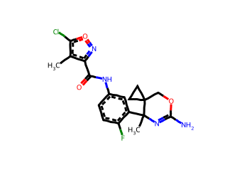 Cc1c(C(=O)Nc2ccc(F)c(C3(C)N=C(N)OCC34CC4)c2)noc1Cl